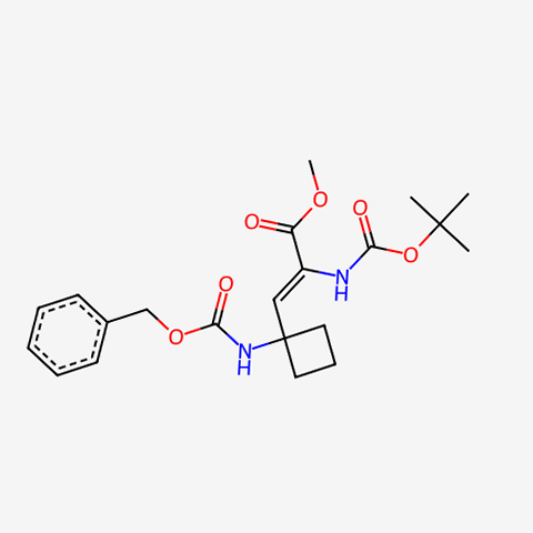 COC(=O)/C(=C/C1(NC(=O)OCc2ccccc2)CCC1)NC(=O)OC(C)(C)C